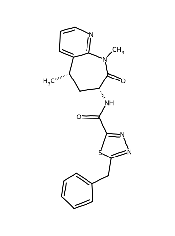 C[C@H]1C[C@@H](NC(=O)c2nnc(Cc3ccccc3)s2)C(=O)N(C)c2ncccc21